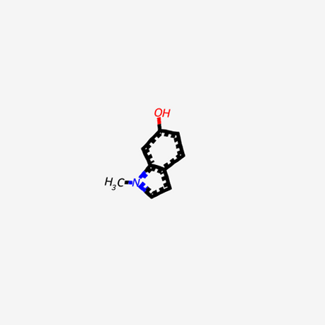 Cn1ccc2ccc(O)cc21